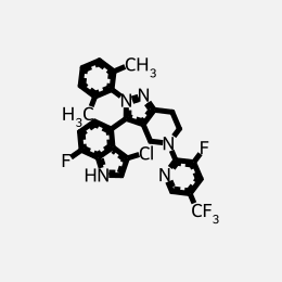 Cc1cccc(C)c1-n1nc2c(c1-c1ccc(F)c3[nH]cc(Cl)c13)CN(c1ncc(C(F)(F)F)cc1F)CC2